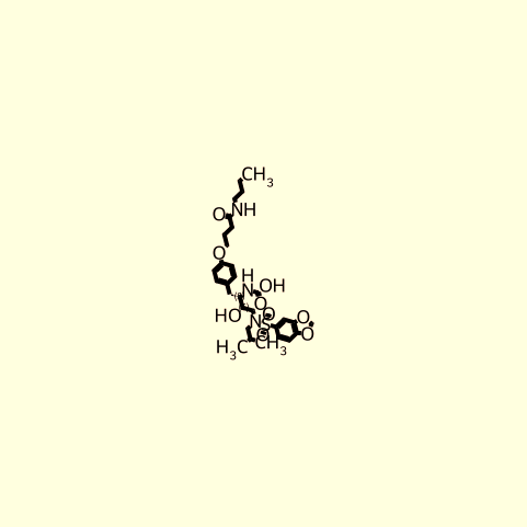 CCCCNC(=O)CCCOc1ccc(C[C@H](NC(=O)O)[C@@H](O)CN(CC(C)C)S(=O)(=O)c2ccc3c(c2)OCO3)cc1